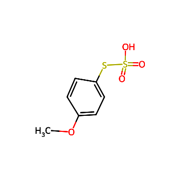 COc1ccc(SS(=O)(=O)O)cc1